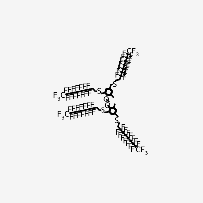 Cc1cc(CSCCC(F)(F)C(F)(F)C(F)(F)C(F)(F)C(F)(F)C(F)(F)C(F)(F)C(F)(F)F)cc(CSCCC(F)(F)C(F)(F)C(F)(F)C(F)(F)C(F)(F)C(F)(F)C(F)(F)C(F)(F)F)c1OCOc1c(C)cc(CSCCC(F)(F)C(F)(F)C(F)(F)C(F)(F)C(F)(F)C(F)(F)C(F)(F)C(F)(F)F)cc1CSCCC(F)(F)C(F)(F)C(F)(F)C(F)(F)C(F)(F)C(F)(F)C(F)(F)C(F)(F)F